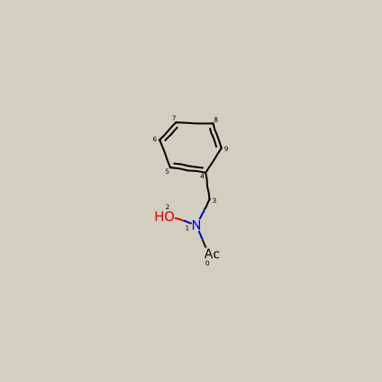 CC(=O)N(O)Cc1ccccc1